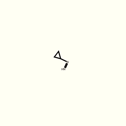 N=NC1CC1